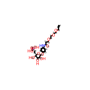 C#CCOCCOCCOCCC(=O)Nc1ccc(O[C@H]2O[C@H](CCP(=O)(O)O)[C@@H](O)[C@H](O)[C@@H]2O)cc1